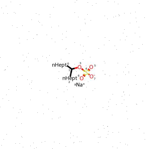 CCCCCCCC(CCCCCCC)OS(=O)(=O)[O-].[Na+]